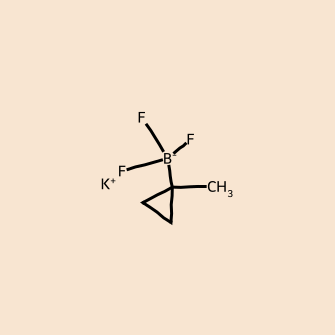 CC1([B-](F)(F)F)CC1.[K+]